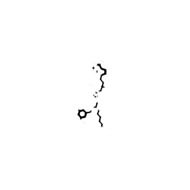 CCCCCCCCCCCCCCC[C@H](COP(=O)(O)OC[C@](C)(CCc1ccc2c(N)ncnn12)OC)OCc1cc(F)cc(C#N)c1